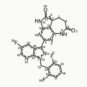 C[C@@]12CCC(=O)Nc3nc(-c4nn(Cc5c(F)cccc5F)c5ncc(F)cc45)nc(c31)NC2=O